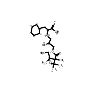 CCC(C)C(C)(C(=O)OCC(O)CNC(CC1CCCCC1)C(=O)O)C(C)(C)C